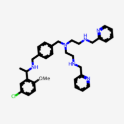 COc1ccc(Cl)cc1C(C)NCc1ccc(CN(CCNCc2ccccn2)CCNCc2ccccn2)cc1